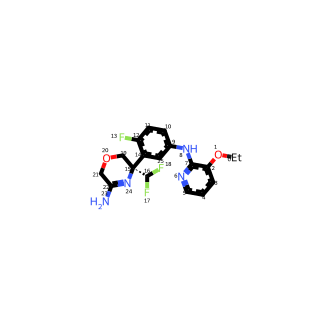 CCOc1cccnc1Nc1ccc(F)c([C@]2(C(F)F)COCC(N)=N2)c1